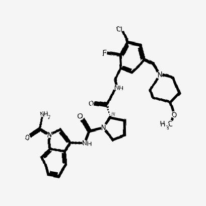 COC1CCN(Cc2cc(Cl)c(F)c(CNC(=O)[C@@H]3CCCN3C(=O)Nc3cn(C(N)=O)c4ccccc34)c2)CC1